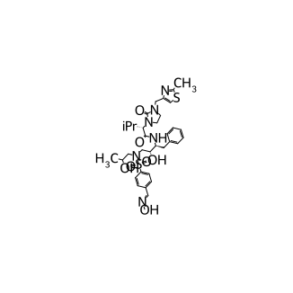 Cc1nc(CN2CCN([C@H](C(=O)N[C@@H](Cc3ccccc3)[C@H](O)CN(CC(C)O)S(=O)(=O)c3ccc(C=NO)cc3)C(C)C)C2=O)cs1